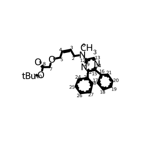 CN(C/C=C\COCC(=O)OC(C)(C)C)c1cnc(-c2ccccc2)c(-c2ccccc2)n1